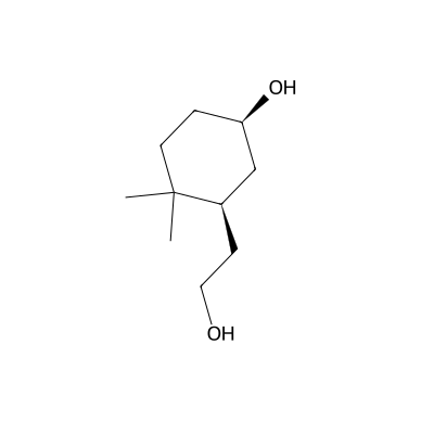 CC1(C)CC[C@@H](O)C[C@H]1CCO